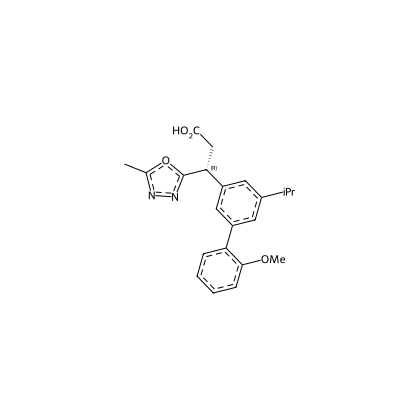 COc1ccccc1-c1cc(C(C)C)cc([C@@H](CC(=O)O)c2nnc(C)o2)c1